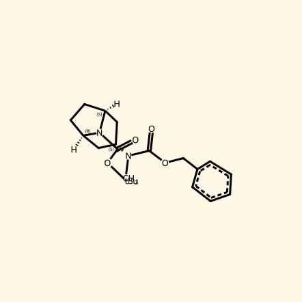 CN(C(=O)OCc1ccccc1)[C@@H]1C[C@H]2CC[C@@H](C1)N2C(=O)OC(C)(C)C